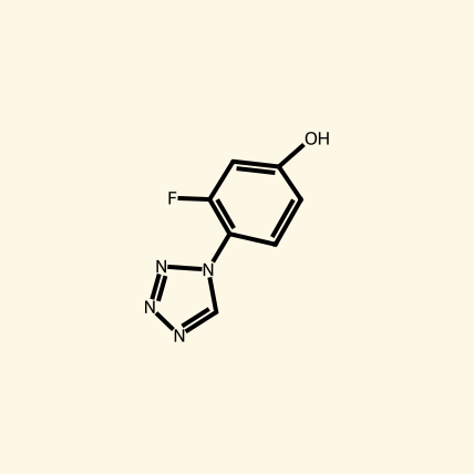 Oc1ccc(-n2cnnn2)c(F)c1